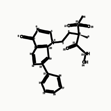 C[C@@](CCn1cnc(=O)c2ccc(-c3ccccc3)cc21)(C(=O)NO)S(C)(=O)=O